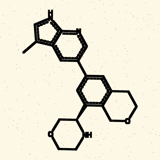 Cc1c[nH]c2ncc(-c3cc4c(c([C@@H]5COCCN5)c3)COCC4)cc12